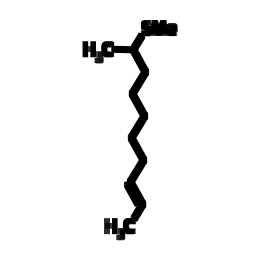 CC=CCCCCCC(C)SC